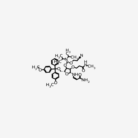 CNC(=O)CCOC1C(OP(OCCC#N)N(C(C)C)C(C)C)[C@@H](COC(c2ccccc2)(c2ccc(OC)cc2)c2ccc(OC)cc2)O[C@H]1N/C=C\C(N)=O